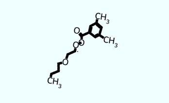 CCCCOC[CH]OOC(=O)c1cc(C)cc(C)c1